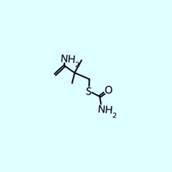 C=C(N)C(C)(C)CSC(N)=O